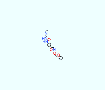 O=C(NCCN1CCCC1)Nc1ccc(-c2cnc(COCc3cc4ccccc4o3)o2)cc1